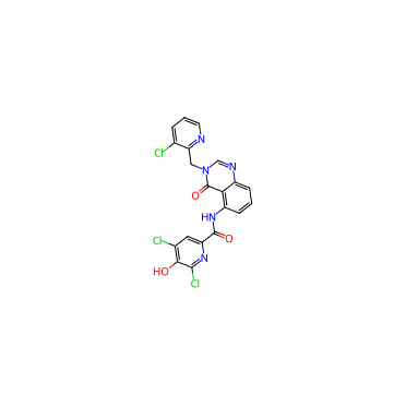 O=C(Nc1cccc2ncn(Cc3ncccc3Cl)c(=O)c12)c1cc(Cl)c(O)c(Cl)n1